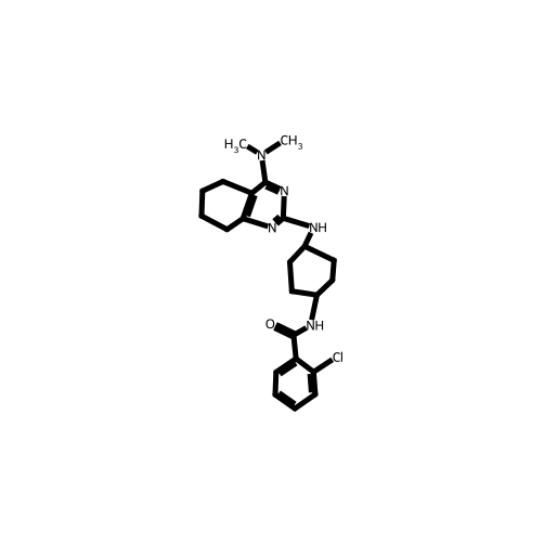 CN(C)c1nc(NC2CCC(NC(=O)c3ccccc3Cl)CC2)nc2c1CCCC2